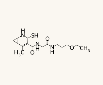 CCOCCCNC(=O)CNC(=O)C1=C(C)C2CC2NC1S